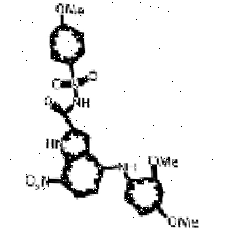 COc1ccc(S(=O)(=O)NC(=O)c2cc3c(Nc4ccc(OC)cc4OC)ccc([N+](=O)[O-])c3[nH]2)cc1